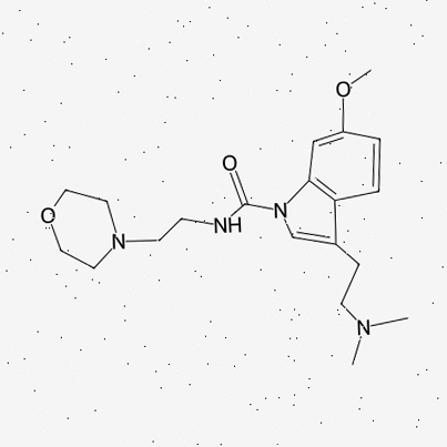 COc1ccc2c(CCN(C)C)cn(C(=O)NCCN3CCOCC3)c2c1